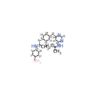 Bc1ccc(NC(=C)Cc2ccc(Cc3cc(NC(=C)C)ncn3)cc2)cc1